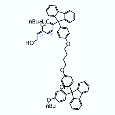 C=C(/C=C\C(=C/CO)OCCCC)C1(c2ccc(OCCCCOc3ccc(C4(c5ccc(OCCCC)cc5O)c5ccccc5-c5ccccc54)cc3)cc2)c2ccccc2-c2ccccc21